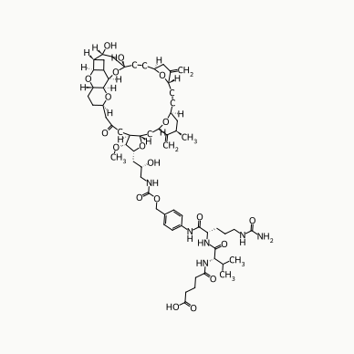 C=C1C[C@@H]2CC[C@@]3(O)C[C@@H](O)[C@@H]4CC5[C@H]4O[C@H]4CC[C@H](CC(=O)C[C@@H]6[C@@H](OC)[C@@H](C[C@H](O)CNC(=O)OCc7ccc(NC(=O)[C@H](CCCNC(N)=O)NC(=O)[C@@H](NC(=O)CCCC(=O)O)C(C)C)cc7)O[C@H]6C[C@H]6O[C@@H](CC[C@@H]1O2)C[C@@H](C)C6=C)O[C@@H]4[C@@H]5O3